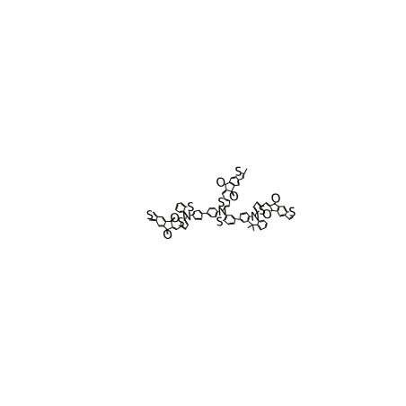 Cc1cc2cc3c(cc2s1)C(=O)/C(=C/c1ccc(N2c4ccc(-c5ccc6c(c5)Sc5ccccc5N6c5ccc(C=C6C(=O)c7cc8cscc8cc7C6=O)s5)cc4Sc4ccc(-c5ccc6c(c5)C(C)(C)c5ccccc5N6c5ccc(/C=C6\C(=O)c7cc8ccsc8cc7C6=O)s5)cc42)s1)C3=O